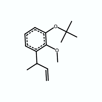 C=C[C](C)c1cccc(OC(C)(C)C)c1OC